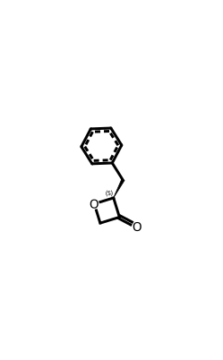 O=C1CO[C@H]1Cc1ccccc1